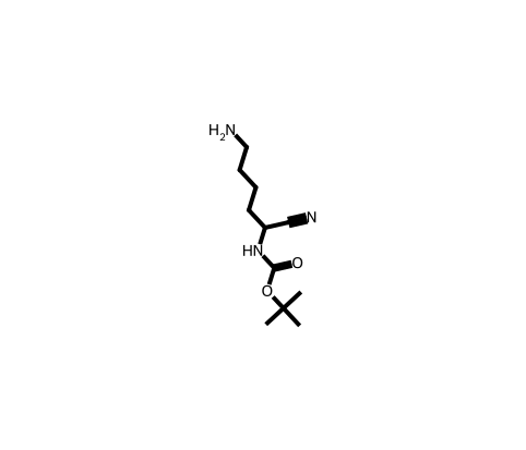 CC(C)(C)OC(=O)NC(C#N)CCCCN